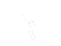 OCCN1CCCN(c2nc(-c3ccc4ccccc4c3)nc(C(Cl)(Cl)Cl)n2)CC1